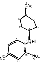 CC(=O)O[C@H]1CC[C@@H](Nc2ccc(C#N)cc2[N+](=O)[O-])CC1